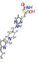 O=C1NC(O)/C(=C/c2ccnc(NCC3CCN(Cc4cccc(-c5ccsc5)n4)CC3)n2)S1